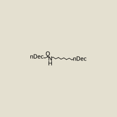 CCCCCCCCCCCCCCCCCCNC(=O)CCCCCCCCCCC